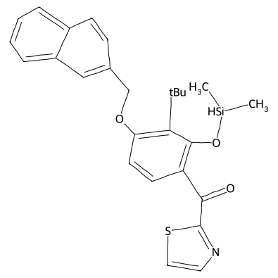 C[SiH](C)Oc1c(C(=O)c2nccs2)ccc(OCc2ccc3ccccc3c2)c1C(C)(C)C